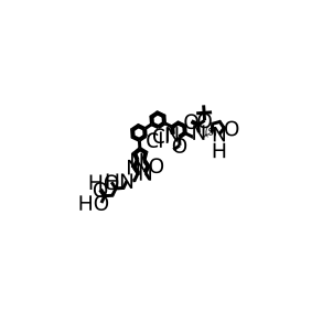 COc1nc(-c2cccc(-c3cccc(-c4cc5c(=O)n(C)c(CNCC(O)CC(=O)O)nn5c4)c3Cl)c2Cl)ccc1CN(C[C@@H]1CCC(=O)N1)C(=O)OC(C)(C)C